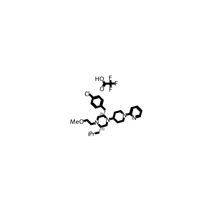 COCCN1C[C@H](Cc2ccc(Cl)cc2)N(C2CCN(c3ccccn3)CC2)C[C@@H]1CC(C)C.O=C(O)C(F)(F)F